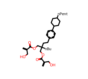 C=C(CO)C(=O)OCC(CCCC)(CCc1ccc(C2CCC(CCCCC)CC2)cc1)COC(=O)C(=C)CO